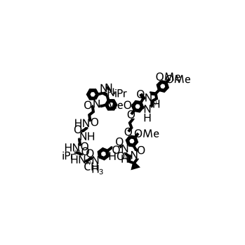 COc1ccc(C2=CN3C(=O)c4cc(OC)c(OCCCOc5cc6c(cc5OC)C(=O)N5CC7(CC7)C[C@H]5C(O)N6C(=O)OCc5ccc(NC(=O)[C@H](C)NC(=O)[C@@H](NC(=O)CNC(=O)CNC(=O)CCC(=O)N6Cc7ccccc7-c7c(nnn7C(C)C)-c7ccccc76)C(C)C)cc5)cc4NC[C@@H]3C2)cc1OC